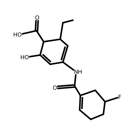 CCC1C=C(NC(=O)C2=CCCC(F)C2)C=C(O)C1C(=O)O